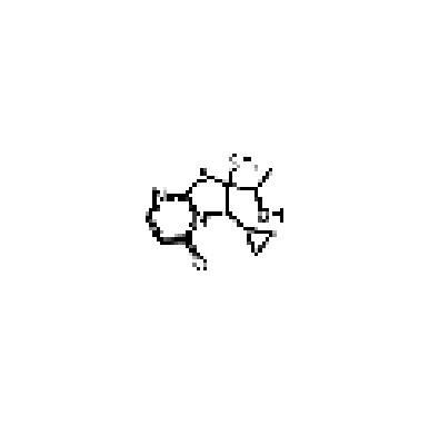 CC(O)C1(C(F)(F)F)Sc2nccc(=O)n2C1C1CC1